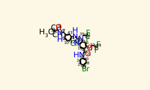 CC(C)(C)C(=O)NCc1ccc(Cl)c(Nc2nc3cc(C(=O)Nc4ccc(Br)cc4)c(OCC(F)F)cc3n2CC(F)F)c1